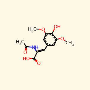 COc1cc(C=C(NC(C)=O)C(=O)O)cc(OC)c1O